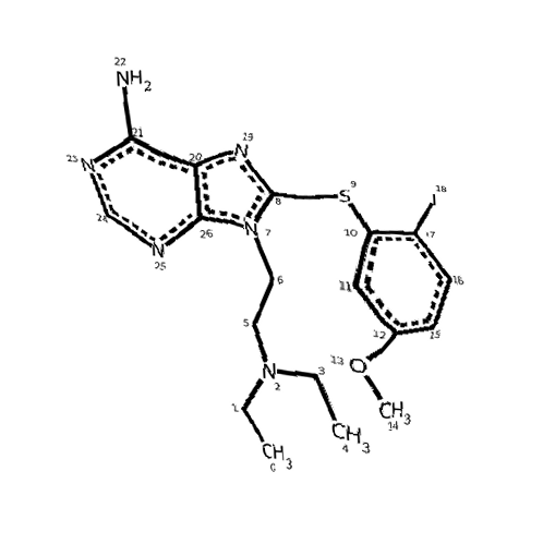 CCN(CC)CCn1c(Sc2cc(OC)ccc2I)nc2c(N)ncnc21